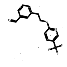 O=Cc1cccc(CCOc2ccc(C(F)(F)F)cn2)c1